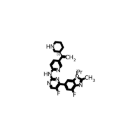 C=C(c1ccc(Nc2ncc(F)c(-c3cc(F)c4nc(C)n(C(C)C)c4c3)n2)nc1)[C@@H]1CCCNC1